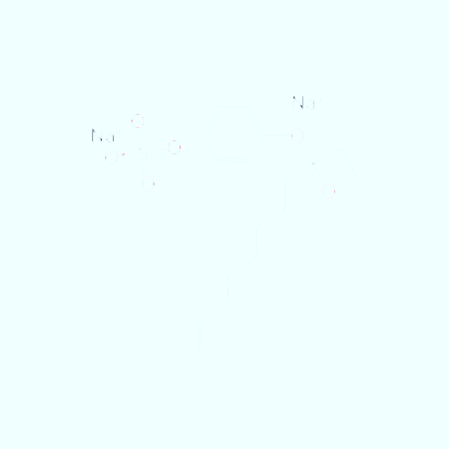 CCCCCCCCC1(Oc2ccccc2)CCO1.O=S(=O)([O-])[O-].[Na+].[Na+]